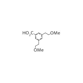 COCCc1cc(CCOC)cc(C(=O)O)c1